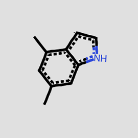 Cc1cc(C)c2[c]c[nH]c2c1